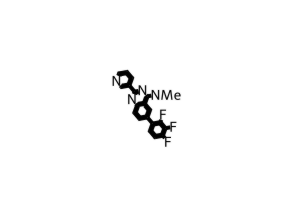 CNc1nc(-c2cccnc2)nc2ccc(-c3ccc(F)c(F)c3F)cc12